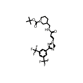 CC(C)(C)OC(=O)N1CCCC(CNC(=O)C=Cn2cnc(-c3cc(C(F)(F)F)cc(C(F)(F)F)c3)n2)C1